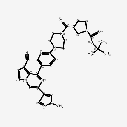 Cn1cc(-c2cn3ncc(C#N)c3c(-c3ccc(N4CCN(C(=O)[C@@H]5CCN(C(=O)OC(C)(C)C)C5)CC4)nc3)n2)cn1